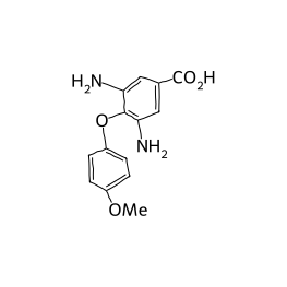 COc1ccc(Oc2c(N)cc(C(=O)O)cc2N)cc1